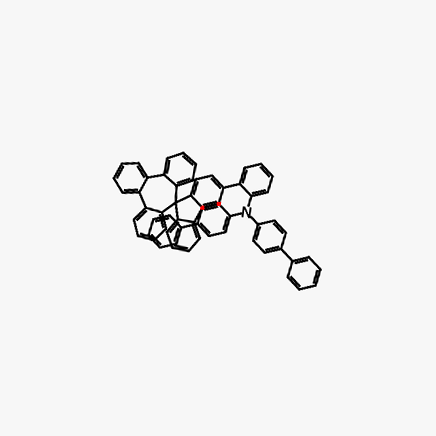 c1ccc(-c2ccc(N(c3ccc(-c4ccccc4)cc3)c3ccccc3-c3ccc4c(c3)-c3ccccc3C43c4ccccc4-c4ccccc4-c4ccccc43)cc2)cc1